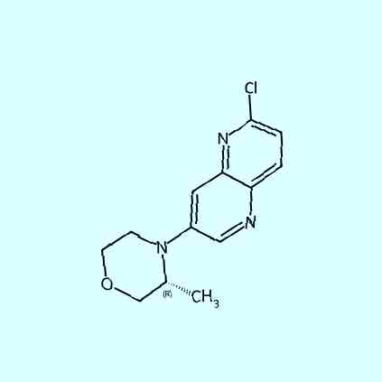 C[C@@H]1COCCN1c1cnc2ccc(Cl)nc2c1